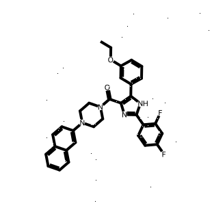 CCOc1cccc(-c2[nH]c(-c3ccc(F)cc3F)nc2C(=O)N2CCN(c3ccc4ccccc4c3)CC2)c1